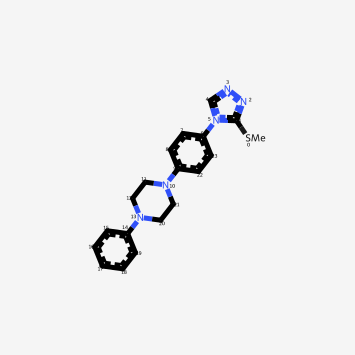 CSc1nncn1-c1ccc(N2CCN(c3cc[c]cc3)CC2)cc1